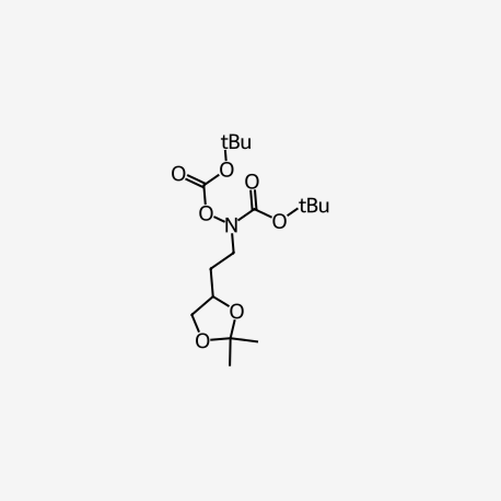 CC(C)(C)OC(=O)ON(CCC1COC(C)(C)O1)C(=O)OC(C)(C)C